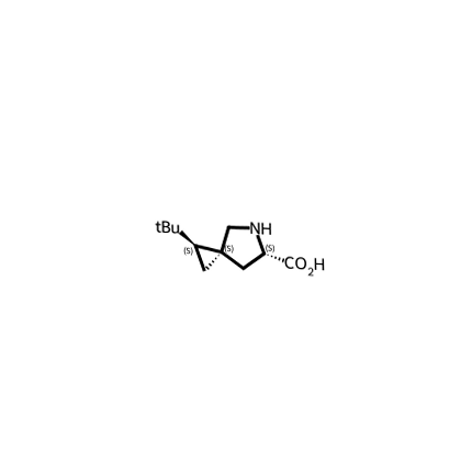 CC(C)(C)[C@@H]1C[C@@]12CN[C@H](C(=O)O)C2